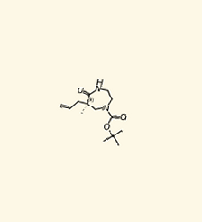 C=CC[C@]1(C)CN(C(=O)OC(C)(C)C)CCNC1=O